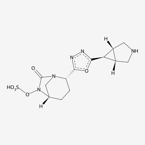 O=C1N2C[C@H](CC[C@H]2c2nnc([C@H]3[C@@H]4CNC[C@@H]43)o2)N1OS(=O)(=O)O